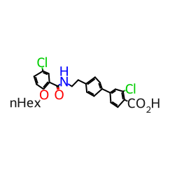 CCCCCCOc1ccc(Cl)cc1C(=O)NCCc1ccc(-c2ccc(C(=O)O)c(Cl)c2)cc1